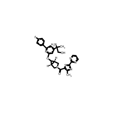 Cc1nc(-c2ncccn2)sc1C(=O)N1C[C@@H]2C(Oc3cc(C(C)(N)CO)cc(-c4ccc(F)cc4)n3)[C@@H]2C1